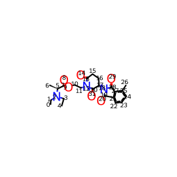 CCN(CC)[C@@H](C)C(=O)OCCN1C(=O)CCC(N2C(=O)c3cccc(C)c3C2=O)C1=O